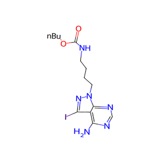 CCCCOC(=O)NCCCCn1nc(I)c2c(N)ncnc21